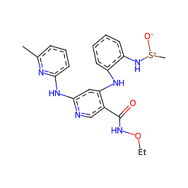 CCONC(=O)c1cnc(Nc2cccc(C)n2)cc1Nc1ccccc1N[S+](C)[O-]